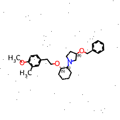 COc1ccc(CCO[C@H]2CCCC[C@@H]2N2CC[C@@H](OCc3ccccc3)C2)cc1C